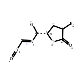 CCC1C[C@@H](C(CC)/N=C/B=O)OC1=O